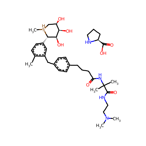 Cc1ccc([C@H]2[C@H](O)[C@H](O)[C@H](O)C[SH]2C)cc1Cc1ccc(CCCC(=O)NC(C)(C)C(=O)NCCN(C)C)cc1.O=C(O)[C@@H]1CCCN1